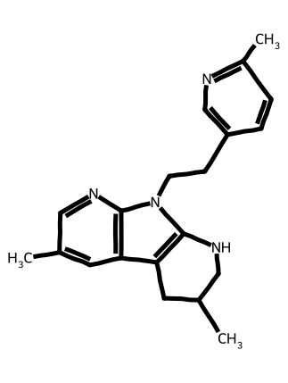 Cc1cnc2c(c1)c1c(n2CCc2ccc(C)nc2)NCC(C)C1